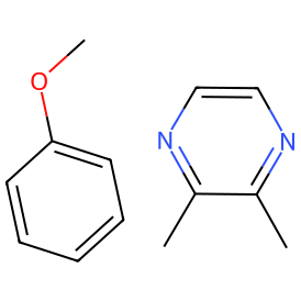 COc1ccccc1.Cc1nccnc1C